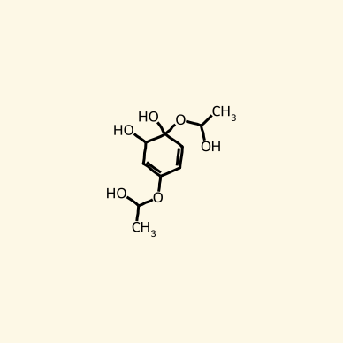 CC(O)OC1=CC(O)C(O)(OC(C)O)C=C1